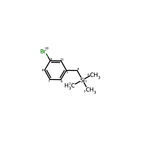 C[Si](C)(C)Cc1cccc(Br)c1